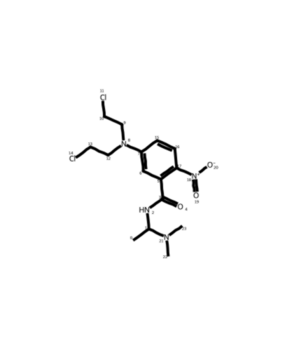 CC(NC(=O)c1cc(N(CCCl)CCCl)ccc1[N+](=O)[O-])N(C)C